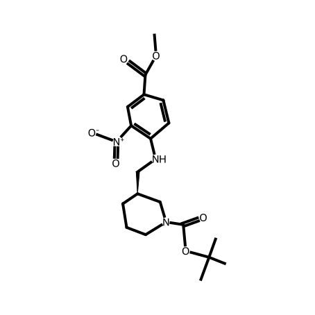 COC(=O)c1ccc(NC[C@@H]2CCCN(C(=O)OC(C)(C)C)C2)c([N+](=O)[O-])c1